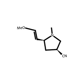 CO/C=C/[C@@H]1C[C@H](C#N)CN1C